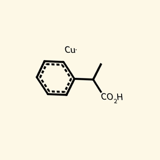 CC(C(=O)O)c1ccccc1.[Cu]